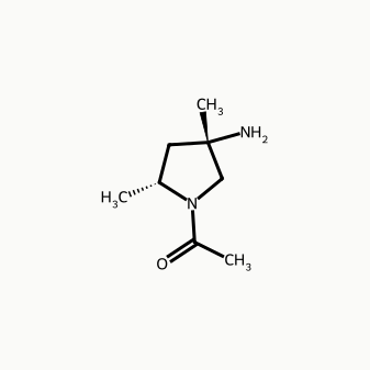 CC(=O)N1C[C@@](C)(N)C[C@H]1C